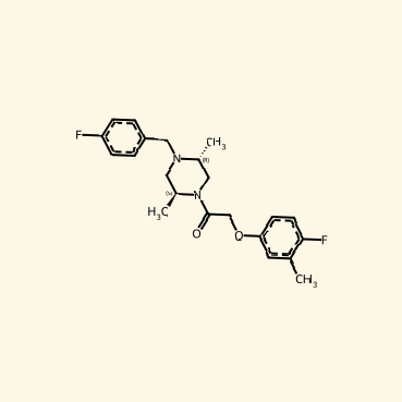 Cc1cc(OCC(=O)N2C[C@@H](C)N(Cc3ccc(F)cc3)C[C@@H]2C)ccc1F